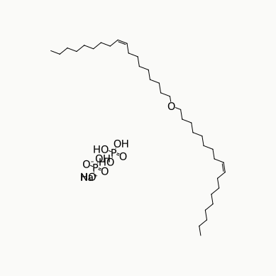 CCCCCCCC/C=C\CCCCCCCCOCCCCCCCC/C=C\CCCCCCCC.O=P(O)(O)O.O=P([O-])(O)O.[Na+]